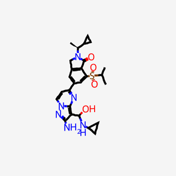 CC(C)S(=O)(=O)c1cc(-c2ccn3nc(N)c(C(O)NC4CC4)c3n2)cc2c1C(=O)N([C@@H](C)C1CC1)C2